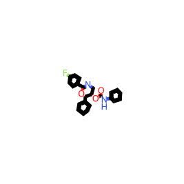 O=C(Nc1ccccc1)OC1CN=C(c2ccc(F)cc2)OC1c1ccccc1